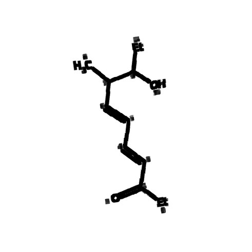 CCC(=O)C=CC=CC(C)C(O)CC